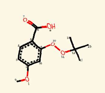 COc1ccc(C(=O)O)c(OOC(C)(C)C)c1